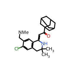 CNCc1cc2c(cc1Cl)CC(C)(C)NC2=CC(=O)C12CC3CC(CC(C3)C1)C2